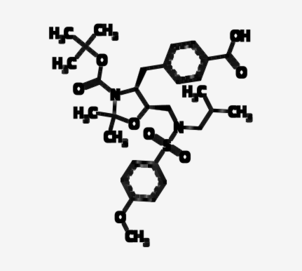 COc1ccc(S(=O)(=O)N(CC(C)C)C[C@H]2OC(C)(C)N(C(=O)OC(C)(C)C)[C@H]2Cc2ccc(C(=O)O)cc2)cc1